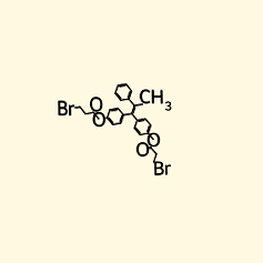 CCC(=C(c1ccc(OC(=O)CCBr)cc1)c1ccc(OC(=O)CCBr)cc1)c1ccccc1